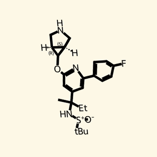 CCC(C)(N[S+]([O-])C(C)(C)C)c1cc(OC2[C@H]3CNC[C@@H]23)nc(-c2ccc(F)cc2)c1